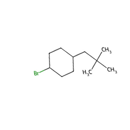 CC(C)(C)CC1CCC(Br)CC1